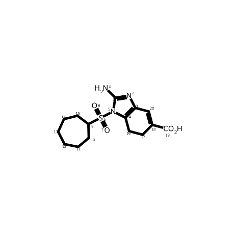 Nc1nc2c(n1S(=O)(=O)C1CCCCCC1)CCC(C(=O)O)=C2